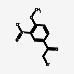 COc1ccc(C(=O)CBr)cc1[N+](=O)[O-]